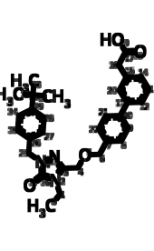 CCn1c(COCc2ccc(-c3cccc(CC(=O)O)c3)cc2)nn(Cc2ccc(C(C)(C)C)cc2)c1=O